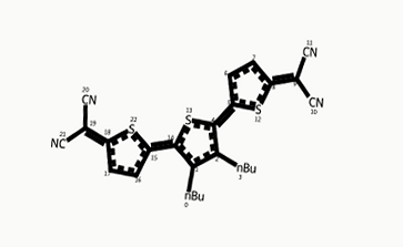 CCCCc1c(CCCC)c(=c2ccc(=C(C#N)C#N)s2)sc1=c1ccc(=C(C#N)C#N)s1